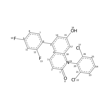 O=c1ccc2c(-c3ccc(F)cc3F)cc(O)cc2n1-c1c(Cl)cccc1Cl